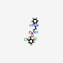 O=C(NCCc1nc2ccccc2[nH]1)OCc1c(Cl)cccc1Cl